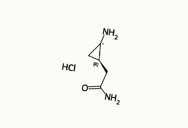 Cl.N[C]1C[C@@H]1CC(N)=O